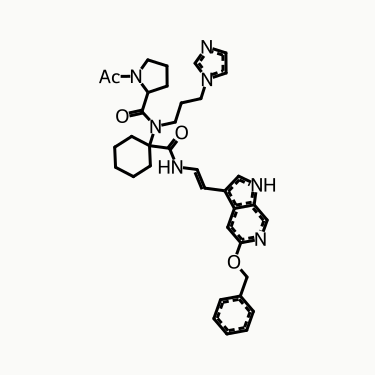 CC(=O)N1CCCC1C(=O)N(CCCn1ccnc1)C1(C(=O)NC=Cc2c[nH]c3cnc(OCc4ccccc4)cc23)CCCCC1